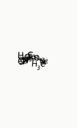 Cc1cc(OCCCN2CCC[C@H]2C)ccc1C(=O)CN1CCOCC1